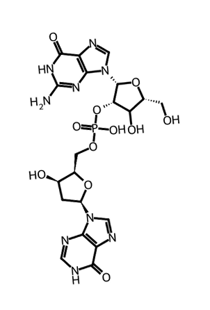 Nc1nc2c(ncn2[C@@H]2O[C@H](CO)C(O)[C@@H]2OP(=O)(O)OC[C@H]2O[C@@H](n3cnc4c(=O)[nH]cnc43)C[C@H]2O)c(=O)[nH]1